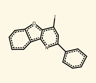 Ic1cc(-c2ccccc2)nc2c1oc1ccccc12